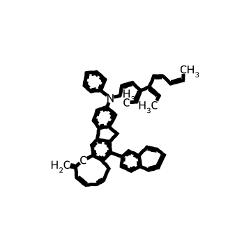 C=C1/C=C\C=C/Cc2c(cc3c(c2-c2ccc4c(c2)C=CC=C=C4)Cc2cc(N(C\C=C/C(=C\C)C(/C=C\C=C/C)=C\C)c4ccccc4)ccc2-3)C1